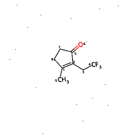 CC1=C(CC(F)(F)F)C(=O)C[CH]1